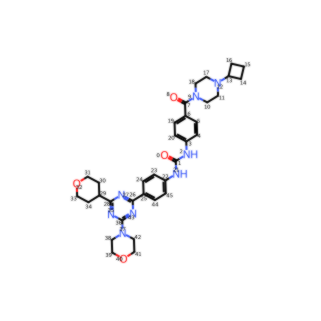 O=C(Nc1ccc(C(=O)N2CCN(C3CCC3)CC2)cc1)Nc1ccc(-c2nc(C3CCOCC3)nc(N3CCOCC3)n2)cc1